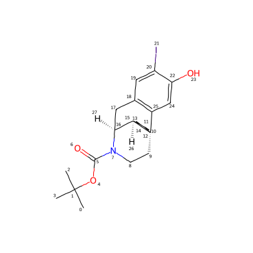 CC(C)(C)OC(=O)N1CC[C@@]23CCCC[C@@H]2[C@@H]1Cc1cc(I)c(O)cc13